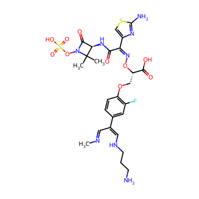 C/N=C/C(=C\NCCCN)c1ccc(OC[C@H](O/N=C(\C(=O)N[C@@H]2C(=O)N(OS(=O)(=O)O)C2(C)C)c2csc(N)n2)C(=O)O)c(F)c1